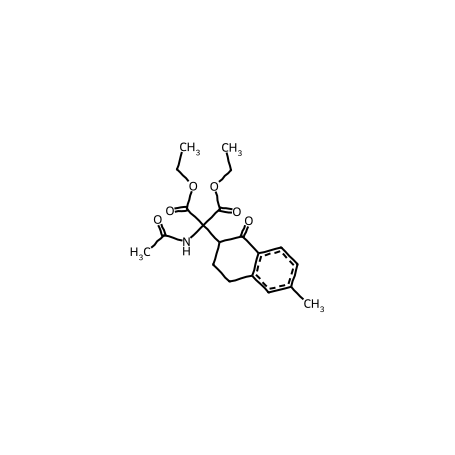 CCOC(=O)C(NC(C)=O)(C(=O)OCC)C1CCc2cc(C)ccc2C1=O